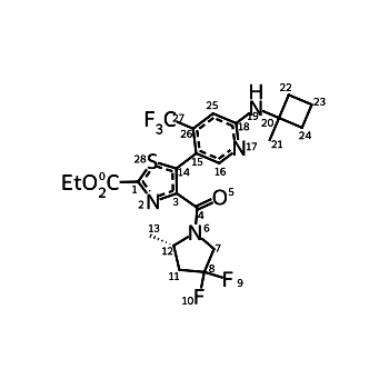 CCOC(=O)c1nc(C(=O)N2CC(F)(F)C[C@@H]2C)c(-c2cnc(NC3(C)CCC3)cc2C(F)(F)F)s1